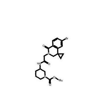 CC(C)(C)OC(=O)N1CCCC(NC(=O)CN2CC3(CC3)c3cc(Br)ccc3C2=O)C1